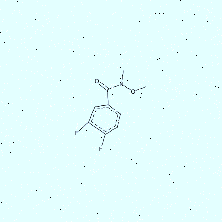 CON(C)C(=O)c1ccc(F)c(F)c1